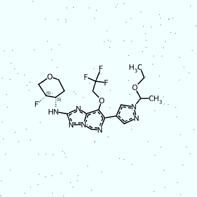 CCOC(C)n1cc(-c2ncn3nc(N[C@H]4CCOC[C@H]4F)nc3c2OCC(F)(F)F)cn1